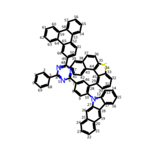 c1ccc(-c2nc(-c3ccc(-n4c5ccccc5c5cc6ccccc6cc54)c(-c4cccc5sc6ccc7ccccc7c6c45)c3)nc(-c3ccc4c5ccccc5c5ccccc5c4c3)n2)cc1